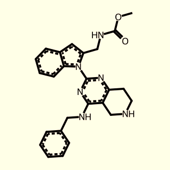 COC(=O)NCc1cc2ccccc2n1-c1nc2c(c(NCc3ccccc3)n1)CNCC2